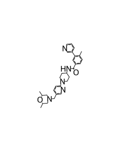 Cc1ccc(C(=O)NC2CCN(c3ccc(CN4CC(C)OC(C)C4)cn3)CC2)cc1-c1cccnc1